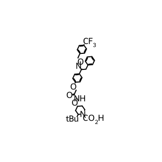 CC(C)(C)C1CC(ONC(=O)COc2ccc(C(Cc3ccccc3)=NOCc3ccc(C(F)(F)F)cc3)cc2)CCN1C(=O)O